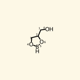 OCC1COBO1